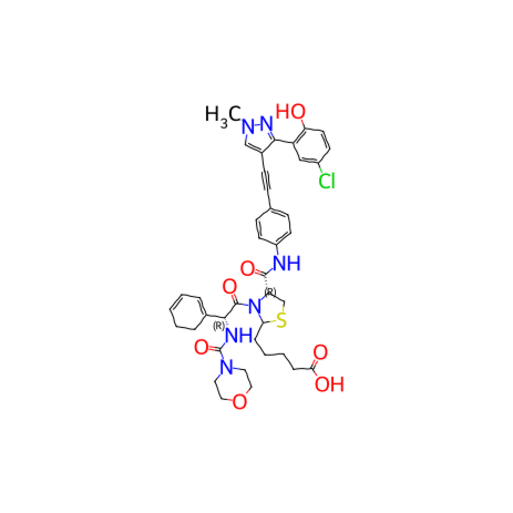 Cn1cc(C#Cc2ccc(NC(=O)[C@@H]3CSC(CCCCC(=O)O)N3C(=O)[C@H](NC(=O)N3CCOCC3)C3=CC=CCC3)cc2)c(-c2cc(Cl)ccc2O)n1